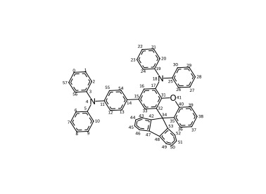 c1ccc(N(c2ccccc2)c2ccc(-c3cc(N(c4ccccc4)c4ccccc4)c4c(c3)C3(c5ccccc5O4)c4ccccc4-c4ccccc43)cc2)cc1